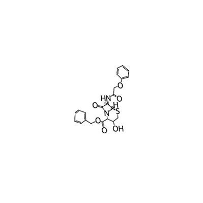 O=C(COc1ccccc1)N[C@@H]1C(=O)N2C(C(=O)OCc3ccccc3)C(O)CS[C@H]12